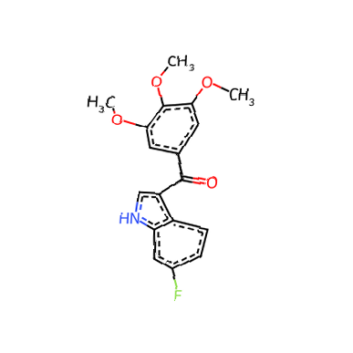 COc1cc(C(=O)c2c[nH]c3cc(F)ccc23)cc(OC)c1OC